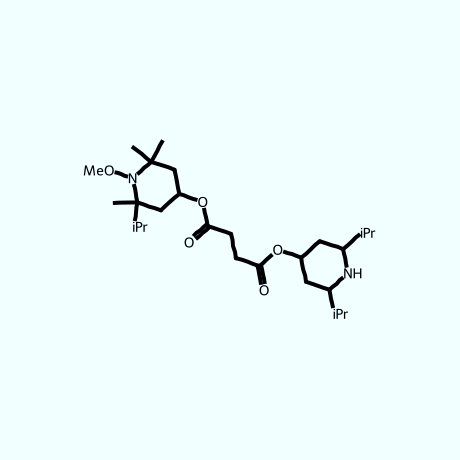 CON1C(C)(C)CC(OC(=O)CCC(=O)OC2CC(C(C)C)NC(C(C)C)C2)CC1(C)C(C)C